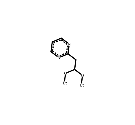 CCOC(Cc1ncccn1)OCC